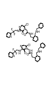 O=C(Cn1c(Cl)cnc(NCC(F)(F)c2ccccn2)c1=O)NCc1ccccc1CNCc1ccccc1.O=C(Cn1c(Cl)cnc(NCC(F)(F)c2ccccn2)c1=O)NCc1ccccc1CNCc1ccccc1